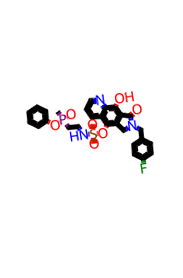 CP(=O)(CCNS(=O)(=O)Oc1c2c(c(O)c3ncccc13)C(=O)N(Cc1ccc(F)cc1)C2)Oc1ccccc1